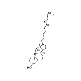 C[C@]12CCC(O)CC1CC[C@@H]1[C@H]2CC[C@]2(C)C(C=CC=CCNOCCN)CC[C@@]12O